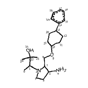 CC(N1CCC(N)C1COC1CCC(c2ccccc2)CC1)C(C)(C)O